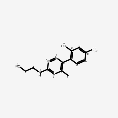 Cc1nc(NCCC#N)nnc1-c1ccc(C(F)(F)F)cc1O